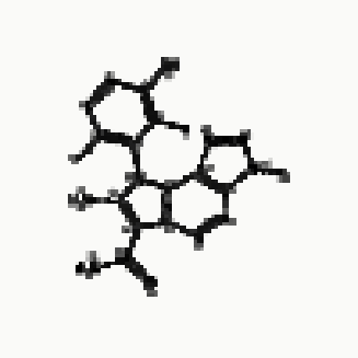 Cc1ccc(O)c(C)c1-n1c(N)c(C(N)=O)c2ncc3c(ncn3C)c21